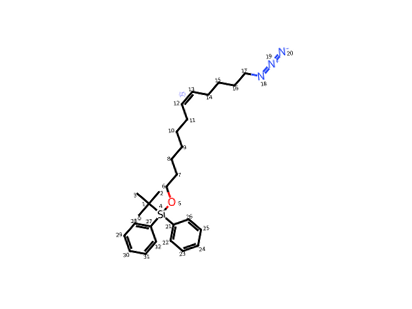 CC(C)(C)[Si](OCCCCCC/C=C\CCCCN=[N+]=[N-])(c1ccccc1)c1ccccc1